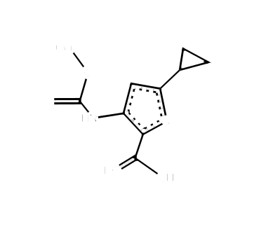 C=C(C)c1sc(C2CC2)cc1NC(=O)OC(C)(C)C